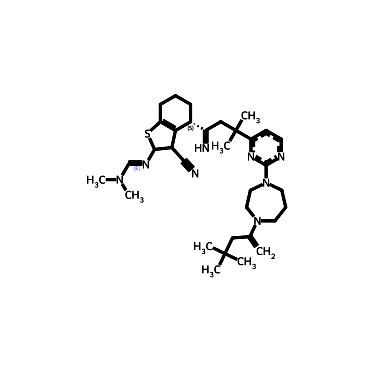 C=C(CC(C)(C)C)N1CCCN(c2nccc(C(C)(C)CC(=N)[C@H]3CCCC4=C3C(C#N)C(/N=C/N(C)C)S4)n2)CC1